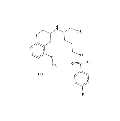 CCC(CCCNS(=O)(=O)c1ccc(F)cc1)NC1CCc2cccc(OC)c2C1.Cl